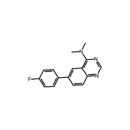 CN(C)c1ncnc2ccc(-c3ccc(F)cc3)cc12